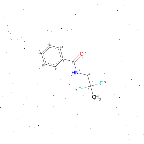 CC(F)(F)CNC(=O)c1ccccc1